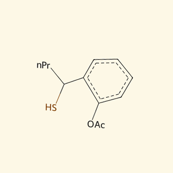 CCCC(S)c1ccccc1OC(C)=O